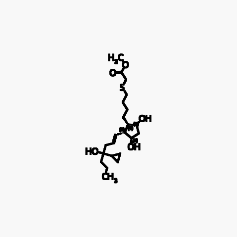 CCCC(O)(CC=C[C@@H]1[C@@H](CCCCSCC(=O)OC)[C@H](O)C[C@H]1O)C1CC1